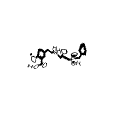 COc1ccc(CCNC[C@H](O)CP(=O)(O)Cc2ccccc2)cc1C(=O)O